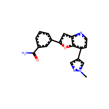 Cn1cc(-c2ccnc3cc(-c4cccc(C(N)=O)c4)oc23)cn1